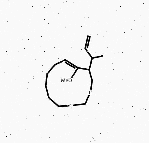 C=CC(C)C1CCCCCCCCC/C=C/1OC